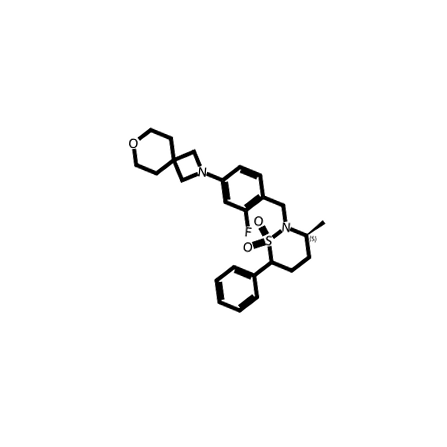 C[C@H]1CCC(c2ccccc2)S(=O)(=O)N1Cc1ccc(N2CC3(CCOCC3)C2)cc1F